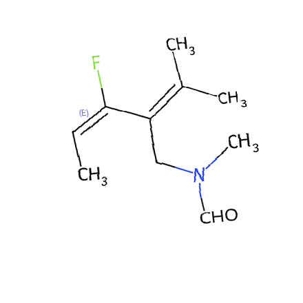 C/C=C(/F)C(CN(C)C=O)=C(C)C